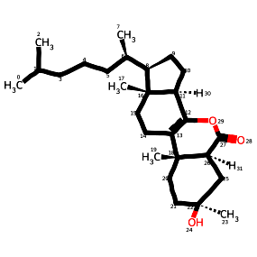 CC(C)CCC[C@@H](C)[C@H]1CC[C@H]2C3=C(CC[C@]12C)[C@@]1(C)CC[C@](C)(O)C[C@@H]1C(=O)O3